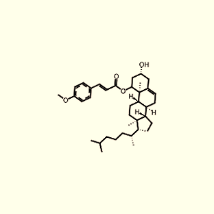 COc1ccc(/C=C/C(=O)OC2C[C@H](O)CC3=CC[C@H]4[C@@H]5CC[C@H]([C@H](C)CCCC(C)C)[C@@]5(C)CC[C@@H]4[C@]32C)cc1